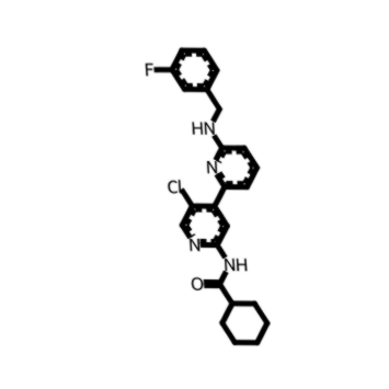 O=C(Nc1cc(-c2cccc(NCc3cccc(F)c3)n2)c(Cl)cn1)C1CCCCC1